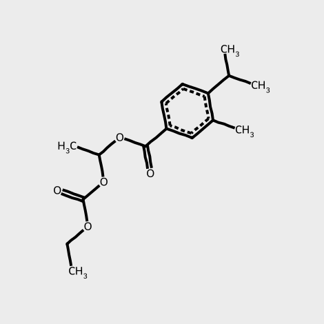 CCOC(=O)OC(C)OC(=O)c1ccc(C(C)C)c(C)c1